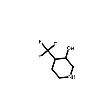 OC1CNCCC1C(F)(F)F